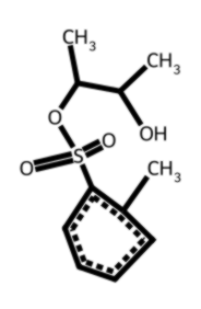 Cc1ccccc1S(=O)(=O)OC(C)C(C)O